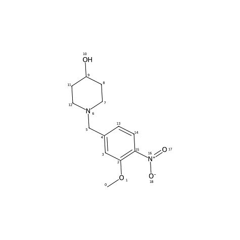 COc1cc(CN2CCC(O)CC2)ccc1[N+](=O)[O-]